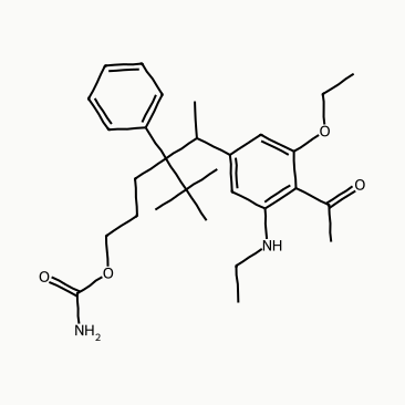 CCNc1cc(C(C)C(CCCOC(N)=O)(c2ccccc2)C(C)(C)C)cc(OCC)c1C(C)=O